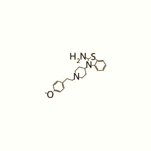 COc1ccc(CCN2CCC(N3c4ccccc4SC3N)CC2)cc1